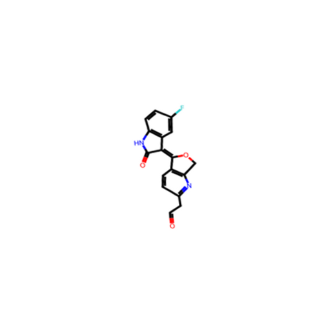 O=CCc1ccc2c(n1)COC2=C1C(=O)Nc2ccc(F)cc21